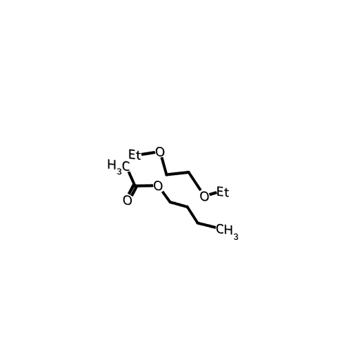 CCCCOC(C)=O.CCOCCOCC